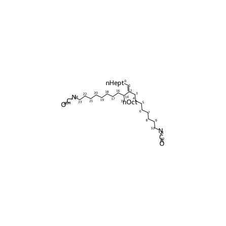 CCCCCCC/C=C(/CCCCCCCCN=C=O)C(CCCCCCCC)CCCCCCCCN=C=O